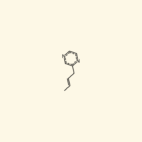 CC=CCc1cnccn1